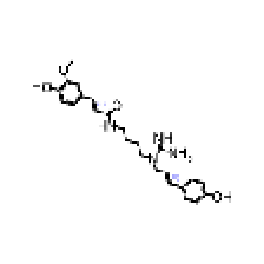 COc1cc(/C=C/C(=O)NCCCCN(C/C=C/c2ccc(O)cc2)C(=N)N)ccc1O